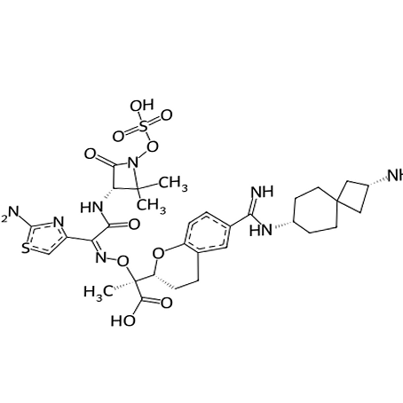 CC1(C)[C@H](NC(=O)/C(=N\O[C@](C)(C(=O)O)[C@H]2CCc3cc(C(=N)N[C@H]4CCC5(CC4)C[C@@H](N)C5)ccc3O2)c2csc(N)n2)C(=O)N1OS(=O)(=O)O